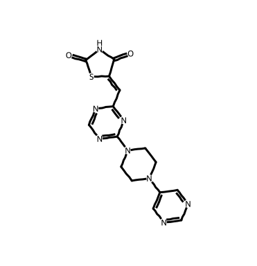 O=C1NC(=O)/C(=C/c2ncnc(N3CCN(c4cncnc4)CC3)n2)S1